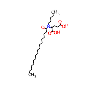 CCCCCCCCCCCCCCCCCC(=O)N(CCCCC)[C@@H](CCC(=O)O)C(=O)O